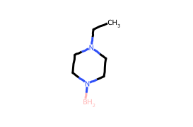 BN1CCN(CC)CC1